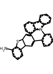 Nc1cccc2c1SC1C=CC(c3ccccc3-n3c4ccccc4c4ccccc43)=CC21